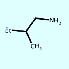 CCC(C)[CH]N